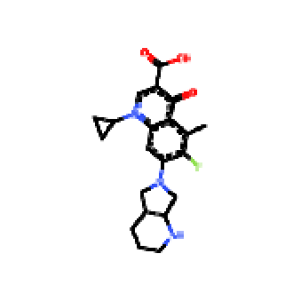 Cc1c(F)c(N2CC3CCCNC3C2)cc2c1c(=O)c(C(=O)O)cn2C1CC1